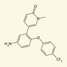 Cn1cc(-c2cc(N)ccc2Oc2ccc(C(F)(F)F)cc2)ccc1=O